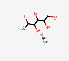 O=C([O-])C(O)C(O)C(O)C(O)CO.[Na+].[Na+].[OH-]